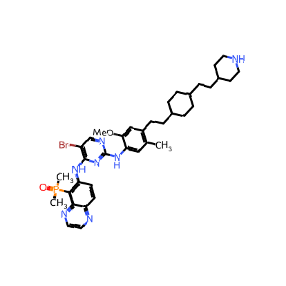 COc1cc(CCC2CCC(CCC3CCNCC3)CC2)c(C)cc1Nc1ncc(Br)c(Nc2ccc3nccnc3c2P(C)(C)=O)n1